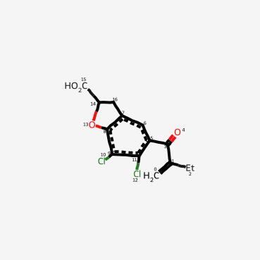 C=C(CC)C(=O)c1cc2c(c(Cl)c1Cl)OC(C(=O)O)C2